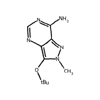 Cn1nc2c(N)ncnc2c1OC(C)(C)C